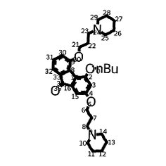 CCCCOc1cc(OCCCN2CCCCC2)cc2c1-c1c(OCCCN3CCCCC3)cccc1C2=O